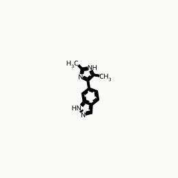 Cc1nc(-c2ccc3cn[nH]c3c2)c(C)[nH]1